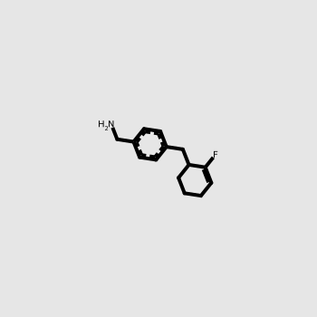 NCc1ccc(CC2CCCC=C2F)cc1